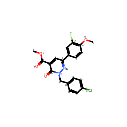 COC(=O)c1cc(-c2ccc(OC)c(F)c2)nn(Cc2ccc(Cl)cc2)c1=O